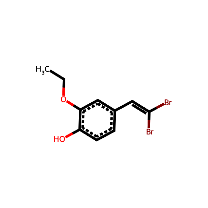 CCOc1cc(C=C(Br)Br)ccc1O